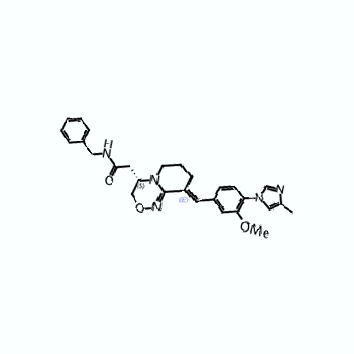 COc1cc(/C=C2\CCCN3C2=NOC[C@@H]3CC(=O)NCc2ccccc2)ccc1-n1cnc(C)c1